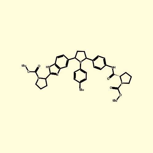 CC(C)(C)OC(=O)N1CCCC1c1nc2cc(C3CCC(c4ccc(NC(=O)[C@@H]5CCCN5C(=O)OC(C)(C)C)cc4)N3c3ccc(C(C)(C)C)cc3)ccc2[nH]1